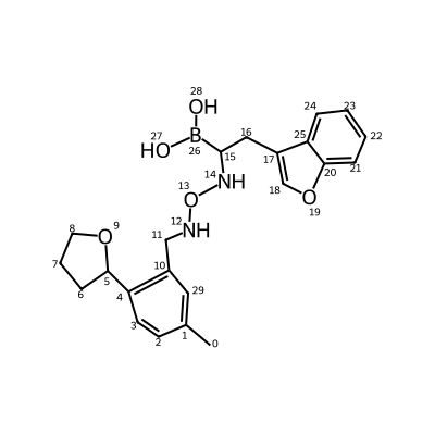 Cc1ccc(C2CCCO2)c(CNONC(Cc2coc3ccccc23)B(O)O)c1